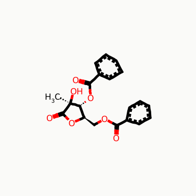 C[C@@]1(O)C(=O)O[C@H](COC(=O)c2ccccc2)[C@H]1OC(=O)c1ccccc1